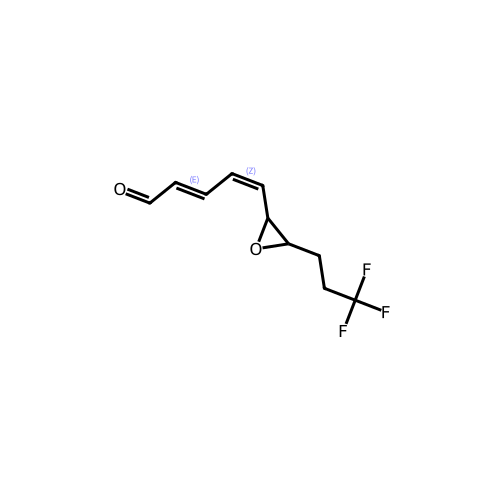 O=C/C=C/C=C\C1OC1CCC(F)(F)F